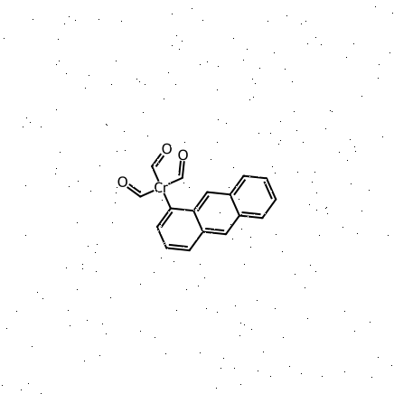 O=[CH][Cr]([CH]=O)([CH]=O)[c]1cccc2cc3ccccc3cc12